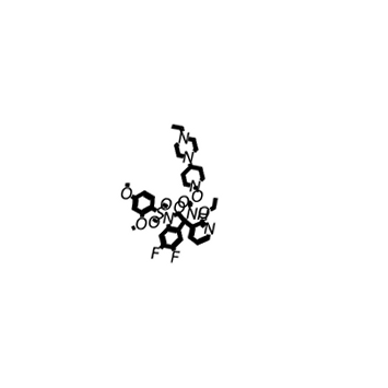 CCOc1ncccc1C1(NC(=O)ON2CCC(N3CCN(CC)CC3)CC2)C(=O)N(S(=O)(=O)c2ccc(OC)cc2OC)c2cc(F)c(F)cc21